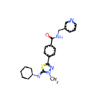 Cn1nc(-c2ccc(C(=O)NCc3cccnc3)cc2)sc1=NC1CCCCC1